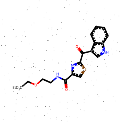 CCOC(=O)COCCNC(=O)c1csc(C(=O)c2c[nH]c3ccccc23)n1